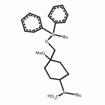 COC1(CO[Si](c2ccccc2)(c2ccccc2)C(C)(C)C)CCC(N(C(=O)O)C(C)(C)C)CC1